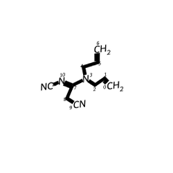 C=CCN(CC=C)/C(CC#N)=N/C#N